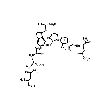 CC(C)[C@H](N)C(=O)O.CC[C@H](C)[C@H](N)C(=O)O.C[C@H](N)C(=O)O.NC(=O)CC[C@H](N)C(=O)O.NC(=O)C[C@H](N)C(=O)O.N[C@@H](Cc1c[nH]c2ccccc12)C(=O)O.O=C(O)[C@@H]1CCCN1.O=C(O)[C@@H]1CCCN1